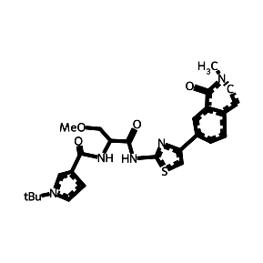 COCC(NC(=O)c1ccn(C(C)(C)C)c1)C(=O)Nc1nc(-c2ccc3ccn(C)c(=O)c3c2)cs1